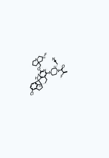 C=C(F)C(=O)N1CCN(c2nc(OC[C@@]34CCCN3C[C@H](F)C4)nc3c2CC[C@]24CCc5c(Cl)ccc(c52)[C@@H]34)C[C@@H]1CC#N